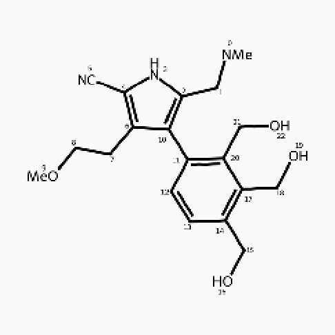 CNCc1[nH]c(C#N)c(CCOC)c1-c1ccc(CO)c(CO)c1CO